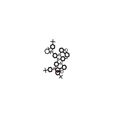 Cc1cc2c3c(c1)N(c1cccc4oc5ccccc5c14)c1cc(N4c5ccc(C(C)(C)C)cc5C5(C)CCCCC45C)ccc1B3c1ccc(N(c3ccc(C(C)(C)C)cc3)c3ccc(C(C)(C)C)cc3)cc1N2c1cccc2oc3ccccc3c12